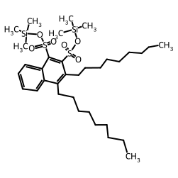 CCCCCCCCCc1c(S(=O)(=O)O[Si](C)(C)C)c(S(=O)(=O)O[Si](C)(C)C)c2ccccc2c1CCCCCCCCC